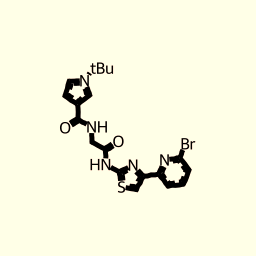 CC(C)(C)n1ccc(C(=O)NCC(=O)Nc2nc(-c3cccc(Br)n3)cs2)c1